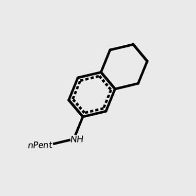 CCCCCNc1ccc2c(c1)CCCC2